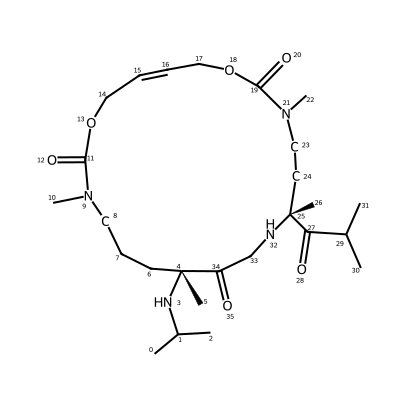 CC(C)N[C@]1(C)CCCN(C)C(=O)OCC=CCOC(=O)N(C)CC[C@](C)(C(=O)C(C)C)NCC1=O